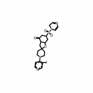 O=C1CC(S(=O)(=O)N2C=CN=CC2)CC2OC3(CCN(c4ccncc4F)CC3)CC12